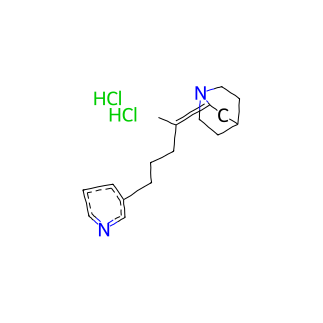 CC(CCCc1cccnc1)=C1CC2CCN1CC2.Cl.Cl